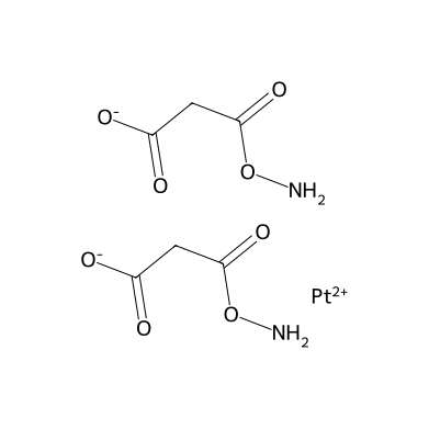 NOC(=O)CC(=O)[O-].NOC(=O)CC(=O)[O-].[Pt+2]